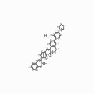 Cc1cc(N2CCCC2)ccc1-c1ccc2c(c1)CCN(C)C2Cc1ccc([C@@H]2Cc3ccccc3[CH]N2)cc1